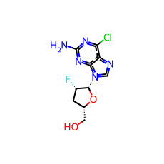 Nc1nc(Cl)c2ncn([C@@H]3O[C@H](CO)C[C@@H]3F)c2n1